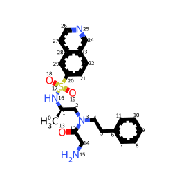 C[C@H](CN(CCc1ccccc1)C(=O)CN)NS(=O)(=O)c1ccc2cnccc2c1